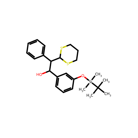 CC(C)(C)[Si](C)(C)Oc1cccc(C(O)C(c2ccccc2)C2SCCCS2)c1